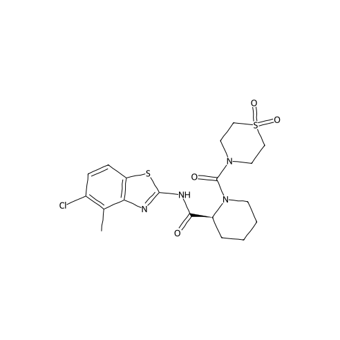 Cc1c(Cl)ccc2sc(NC(=O)[C@@H]3CCCCN3C(=O)N3CCS(=O)(=O)CC3)nc12